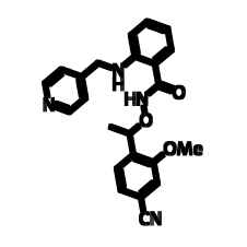 COc1cc(C#N)ccc1C(C)ONC(=O)c1ccccc1NCc1ccncc1